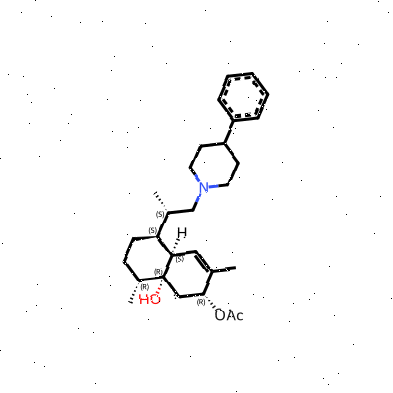 CC(=O)O[C@@H]1[C][C@@]2(O)[C@H](C)CC[C@@H]([C@H](C)CN3CCC(c4ccccc4)CC3)[C@H]2C=C1C